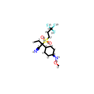 CCC(C#N)(C1CCC(=NOC)CC1)S(=O)(=O)CCC(F)(F)F